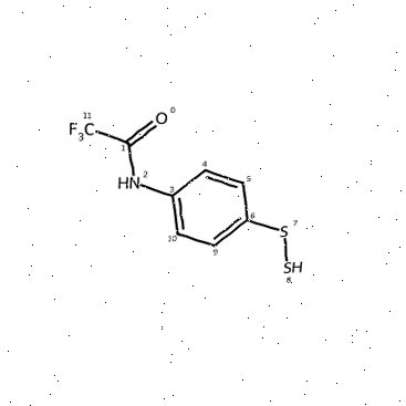 O=C(Nc1ccc(SS)cc1)C(F)(F)F